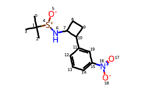 CC(C)(C)[S+]([O-])NC1CCC1c1cccc([N+](=O)[O-])c1